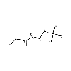 CCN[SiH2]CCC(C)(C)C